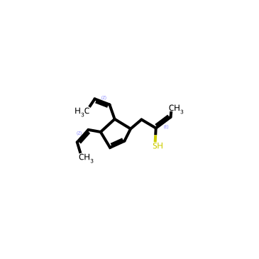 C/C=C\C1C=CC(C/C(S)=C\C)C1/C=C\C